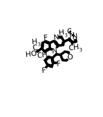 Cc1cnn(C)c1-c1cnc2c3c(F)cc(C(C)(C)O)cc3n(C(c3ccc(F)cc3F)C3CCOCC3)c2c1